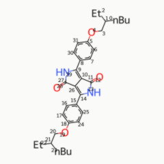 CCCCC(CC)COc1ccc(C2=C3C(=O)NC(c4ccc(OCC(CC)CCCC)cc4)=C3C(=O)N2)cc1